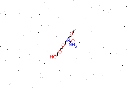 [CH2]COCCN(CCOCCOCCO)C(N)=O